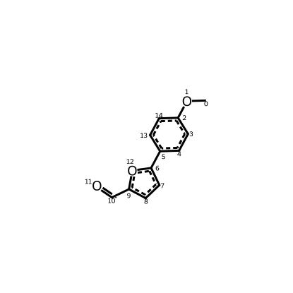 COc1ccc(-c2ccc([C]=O)o2)cc1